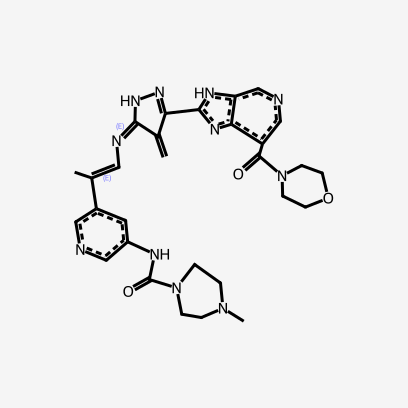 C=C1C(c2nc3c(C(=O)N4CCOCC4)cncc3[nH]2)=NN/C1=N/C=C(\C)c1cncc(NC(=O)N2CCN(C)CC2)c1